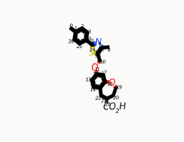 Cc1ccc(-c2nc(C)c(COc3ccc4c(c3)OCCC(C(=O)O)C4)s2)cc1